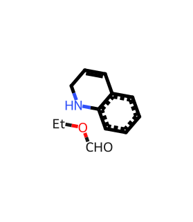 C1=Cc2ccccc2NC1.CCOC=O